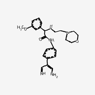 COc1cccc(C(NCCN2CCOCC2)C(=O)Nc2ccc(/C(C=N)=C/N)cc2)c1